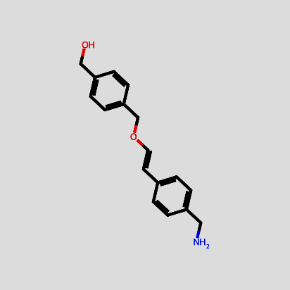 NCc1ccc(C=COCc2ccc(CO)cc2)cc1